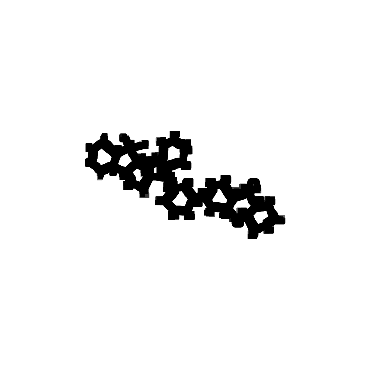 CC1(C)c2ccccc2-c2ccc3c(c21)c1ccncc1n3-c1cccc(-c2ccc3c(=O)c4ccccc4oc3c2)c1